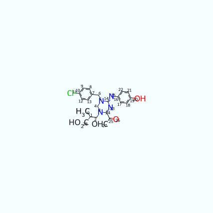 CC(CN1CN(Cc2ccc(Cl)cc2)C(=Nc2ccc(O)cc2)N=C1C(=O)C=O)C(=O)O